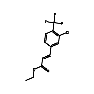 CCOC(=O)C=Cc1ccc(C(F)(F)F)c(Cl)c1